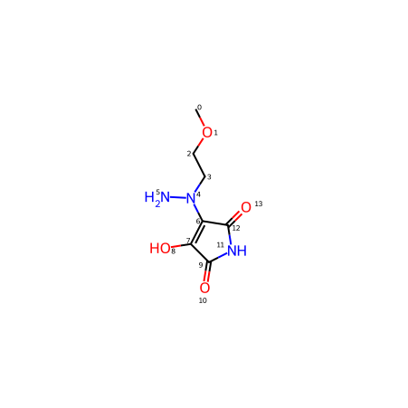 COCCN(N)C1=C(O)C(=O)NC1=O